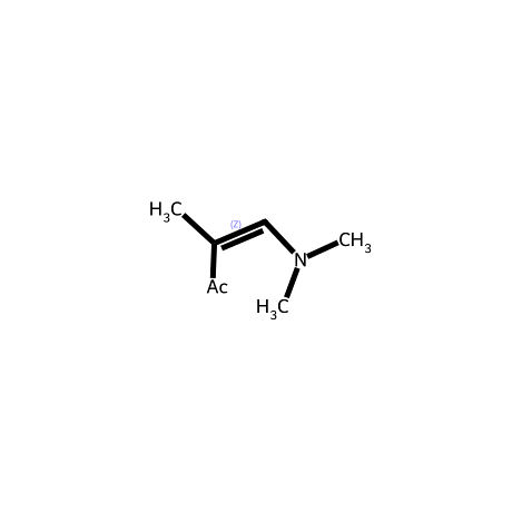 CC(=O)/C(C)=C\N(C)C